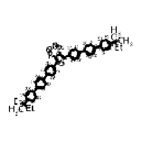 CCC(C)(C)c1ccc(-c2ccc(-c3ccc(-c4sc(-c5ccc(-c6ccc(-c7ccc(C(C)(CC)CC)cc7)cc6)cc5)c(P=O)c4P=O)cc3)cc2)cc1